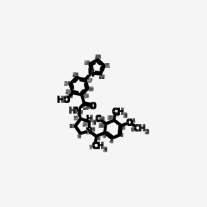 COC1=CC=C(C(C)N2CC[C@@H](NC(=O)c3cc(-n4cccc4)ccc3O)C2)C(C)C1C